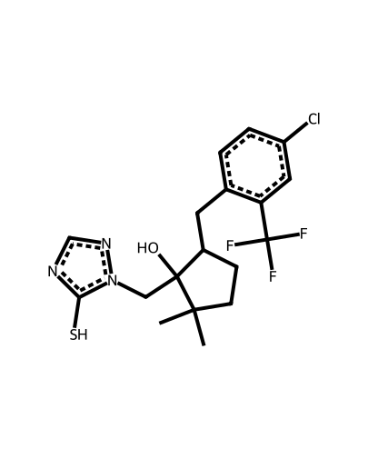 CC1(C)CCC(Cc2ccc(Cl)cc2C(F)(F)F)C1(O)Cn1ncnc1S